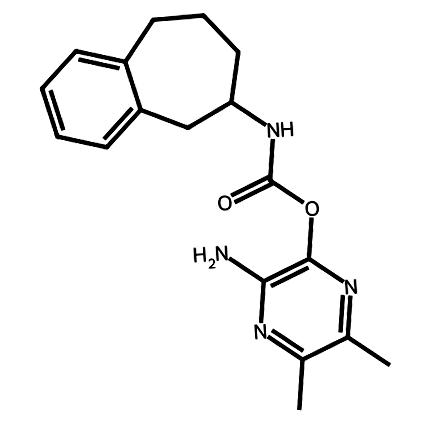 Cc1nc(N)c(OC(=O)NC2CCCc3ccccc3C2)nc1C